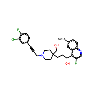 COc1ccc2ncc(Cl)c([C@H](O)CCC3(CO)CCN(CC#Cc4ccc(F)c(Cl)c4)CC3)c2c1